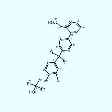 CCC(O)(C=Cc1ccc(C(CC)(CC)c2ccc(-c3ccccc3CC(=O)O)cc2)cc1C)CC